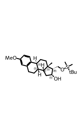 COc1ccc2c(c1)CC[C@@H]1[C@@H]2CC[C@@]2(C)[C@@H]1C[C@H](O)[C@H]2CO[Si](C)(C)C(C)(C)C